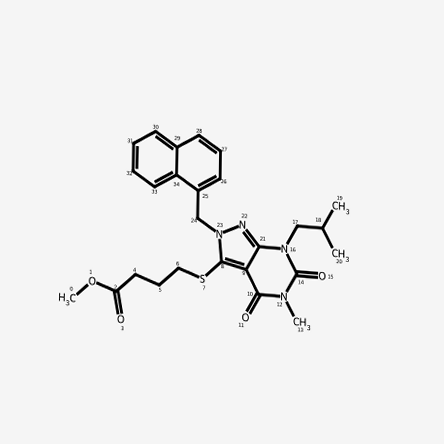 COC(=O)CCCSc1c2c(=O)n(C)c(=O)n(CC(C)C)c2nn1Cc1cccc2ccccc12